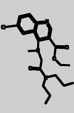 CCCN(CCC)C(=O)CN(C)c1c(C(=O)OCC)cnc2ccc(Cl)cc12